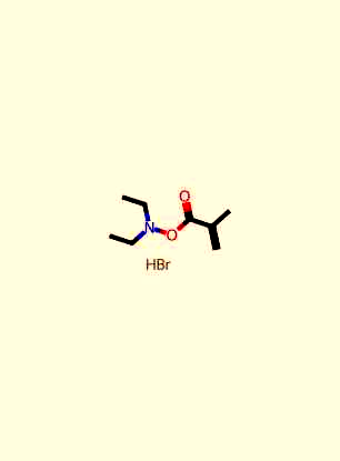 Br.C=C(C)C(=O)ON(CC)CC